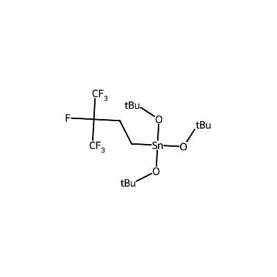 CC(C)(C)[O][Sn]([CH2]CC(F)(C(F)(F)F)C(F)(F)F)([O]C(C)(C)C)[O]C(C)(C)C